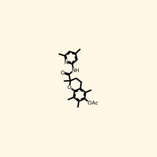 CC(=O)Oc1c(C)c(C)c2c(c1C)CCC(C)(C(=O)Nc1cc(C)cc(C)n1)O2